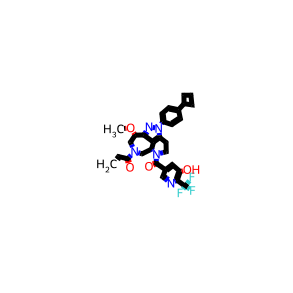 C=CC(=O)N1CC(OC)c2nn(-c3ccc(C4CCC4)cc3)c3c2C(C1)N(C(=O)c1cnc(C(F)(F)F)c(O)c1)CC3